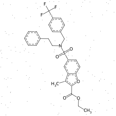 CCOC(=O)c1oc2ccc(S(=O)(=O)N(CCc3ccccc3)Cc3ccc(C(F)(F)F)cc3)cc2c1C